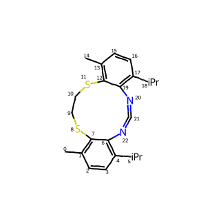 Cc1ccc(C(C)C)c2c1SCCSc1c(C)ccc(C(C)C)c1N=C=N2